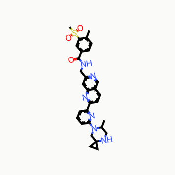 Cc1ccc(C(=O)NCc2cc3nc(-c4cccc(N5CC6(CC6)NCC5C)n4)ccc3cn2)cc1S(C)(=O)=O